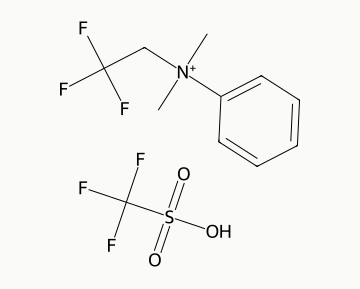 C[N+](C)(CC(F)(F)F)c1ccccc1.O=S(=O)(O)C(F)(F)F